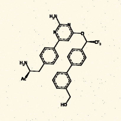 CC(=O)[C@@H](N)Cc1ccc(-c2cc(O[C@H](c3ccc(-c4cccc(CO)c4)cc3)C(F)(F)F)nc(N)n2)cc1